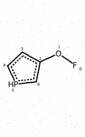 FOc1cc[pH]c1